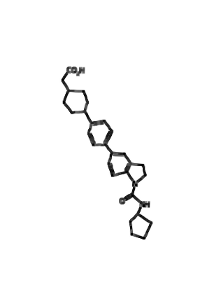 O=C(O)CC1CCC(c2ccc(-c3ccc4c(c3)CCN4C(=O)NC3CCCC3)cc2)CC1